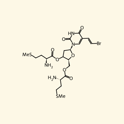 CSCC[C@H](N)C(=O)OC[C@@H]1O[C@H](n2cc(/C=C/Br)c(=O)[nH]c2=O)CC1OC(=O)[C@@H](N)CCSC